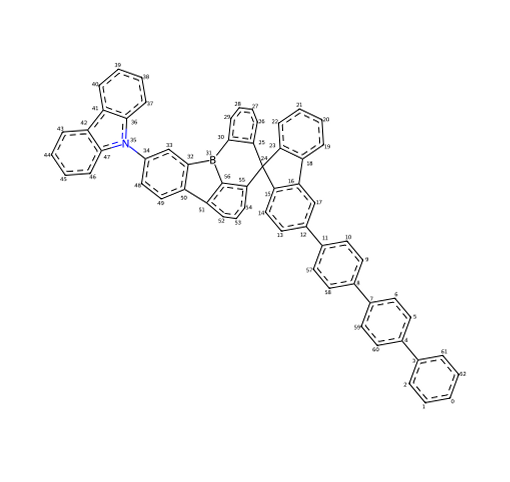 c1ccc(-c2ccc(-c3ccc(-c4ccc5c(c4)-c4ccccc4C54c5ccccc5B5c6cc(-n7c8ccccc8c8ccccc87)ccc6-c6cccc4c65)cc3)cc2)cc1